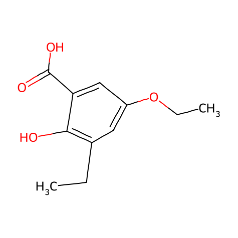 CCOc1cc(CC)c(O)c(C(=O)O)c1